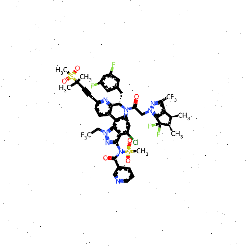 C[C@@H]1c2c(C(F)(F)F)nn(CC(=O)N[C@@H](Cc3cc(F)cc(F)c3)c3nc(C#CC(C)(C)S(C)(=O)=O)ccc3-c3ccc(Cl)c4c(N(C(=O)c5cccnc5)S(C)(=O)=O)nn(CC(F)(F)F)c34)c2C(F)(F)[C@@H]1C